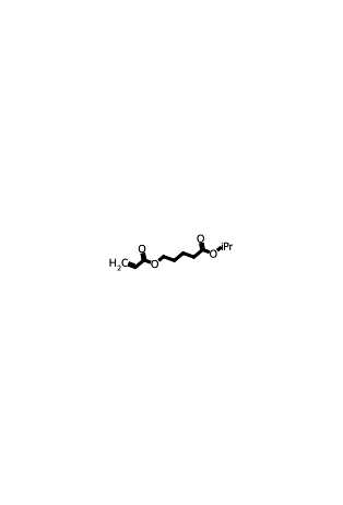 C=CC(=O)OCCCCC(=O)OC(C)C